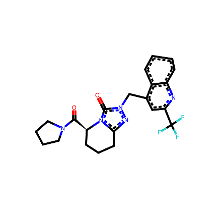 O=C([C@@H]1CCCc2nn(Cc3cc(C(F)(F)F)nc4ccccc34)c(=O)n21)N1CCCC1